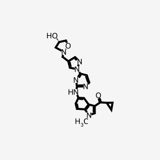 Cn1cc(C(=O)C2CC2)c2cc(Nc3nccc(-n4cc(CN5C[C@H](O)CO5)cn4)n3)ccc21